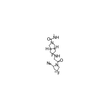 CNC(=O)N1C[C@@H]2C[C@@](C)(NCC(=O)N3C[C@@H](F)CC3C#N)C[C@@H]2C1